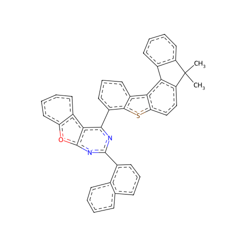 CC1(C)c2ccccc2-c2c1ccc1sc3c(-c4nc(-c5cccc6ccccc56)nc5oc6ccccc6c45)cccc3c21